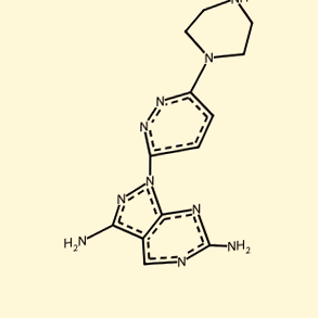 Nc1ncc2c(N)nn(-c3ccc(N4CCNCC4)nn3)c2n1